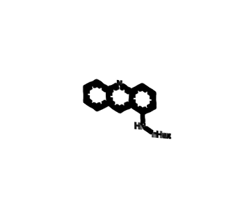 CCCCCCNc1cccc2nc3ccccc3cc12